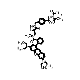 CCN(CC)c1cc(-c2ccccc2C(=O)N(C)Cc2nnn(Cc3ccc(C(=O)ON(C(C)=O)C(C)=O)cc3)c2I)c2cc3ccc(=[N+](CC)CC)cc-3oc2c1